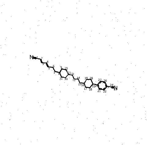 N#CC=CC=CCCC1CCC(CCCCC2CCC(c3ccc(C#N)cc3)CC2)CC1